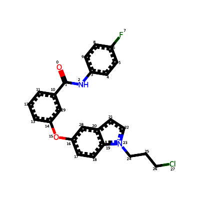 O=C(Nc1ccc(F)cc1)c1cccc(Oc2ccc3c(ccn3CCCCl)c2)c1